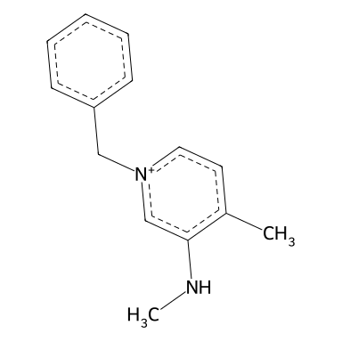 CNc1c[n+](Cc2ccccc2)ccc1C